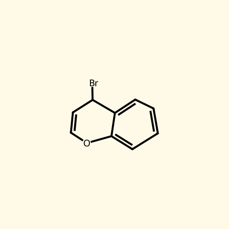 BrC1C=COc2ccccc21